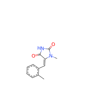 Cc1ccccc1C=C1C(=O)NC(=O)N1C